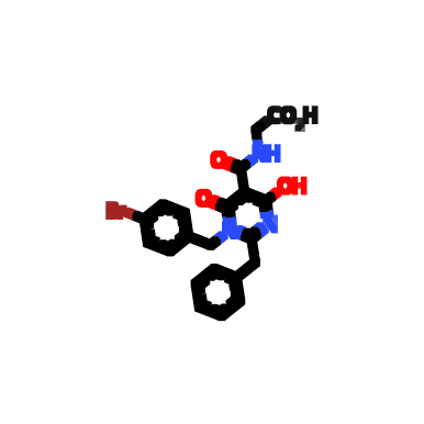 O=C(O)CNC(=O)c1c(O)nc(Cc2ccccc2)n(Cc2ccc(Br)cc2)c1=O